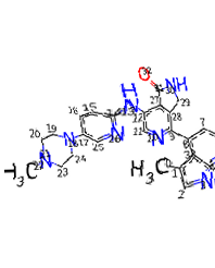 Cc1c[nH]c2nccc(-c3ncc(Nc4ccc(N5CCN(C)CC5)cn4)c4c3CNC4=O)c12